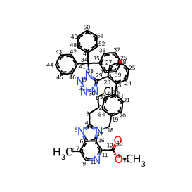 CCCCc1nc2c(C)cnc(C(=O)OC)c2n1Cc1ccc(-c2ccccc2-c2nnnn2C(c2ccccc2)(c2ccccc2)c2ccccc2)cc1